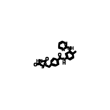 Cc1ccc(NC(=O)c2ccc(Cn3sc(=O)[nH]c3=O)cc2)cc1Nc1ncccn1